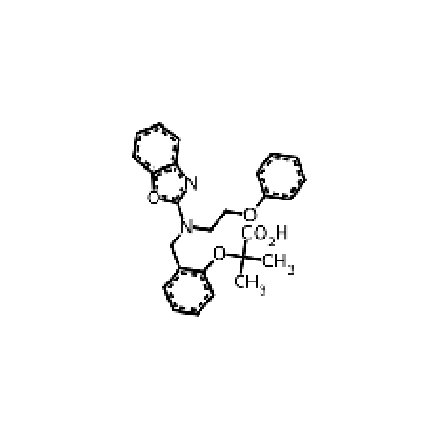 CC(C)(Oc1ccccc1CN(CCOc1ccccc1)c1nc2ccccc2o1)C(=O)O